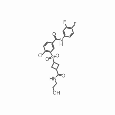 O=C(Nc1ccc(F)c(F)c1)c1ccc(Cl)c(S(=O)(=O)C2CC(C(=O)NCCO)C2)c1